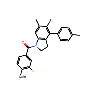 CCc1c(C)cc2c(c1-c1ccc(C)cc1)CCN2C(=O)c1ccc(OC)c(F)c1